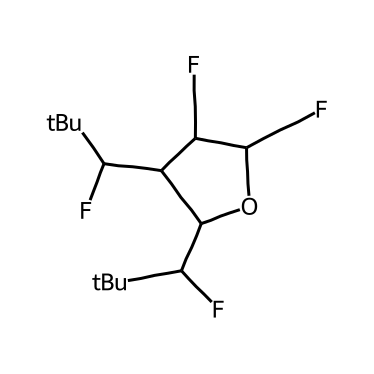 CC(C)(C)C(F)C1OC(F)C(F)C1C(F)C(C)(C)C